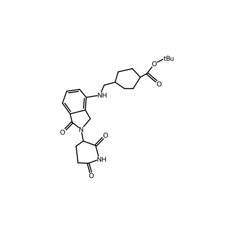 CC(C)(C)OC(=O)C1CCC(CNc2cccc3c2CN(C2CCC(=O)NC2=O)C3=O)CC1